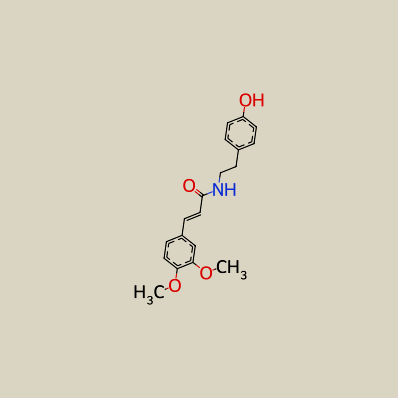 COc1ccc(C=CC(=O)NCCc2ccc(O)cc2)cc1OC